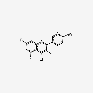 Cc1c(-c2ccc(C(C)C)nc2)nc2cc(F)cc(F)c2c1Cl